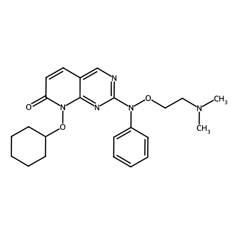 CN(C)CCON(c1ccccc1)c1ncc2ccc(=O)n(OC3CCCCC3)c2n1